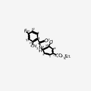 CCOC(=O)c1ccc(NC(=O)c2ccc(F)cc2C)c(Cl)c1